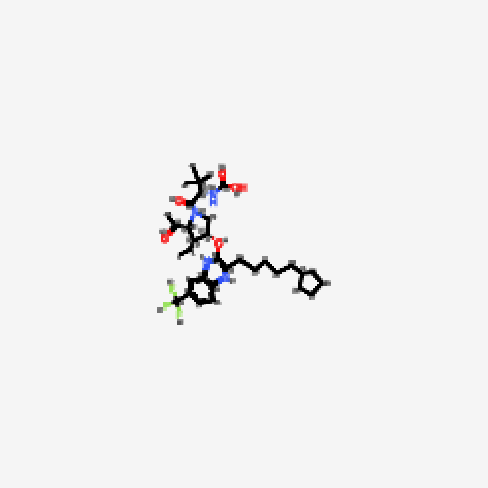 CC[C@@H]1[C@@H](Oc2nc3cc(C(F)(F)F)ccc3nc2CCCCCC2CCCC2)CN(C(=O)[C@@H](NC(=O)O)C(C)(C)C)[C@@H]1C(C)=O